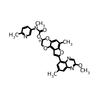 COc1cnc2c(-c3cc4c5c(cc(C)c4o3)O[C@H](OC(=O)N(C)c3ccc(C)nc3)CO5)cc(C)cc2n1